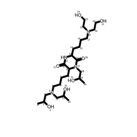 CC(O)CN(CCCCC1C(=O)NC(CCCCN(CCO)CCO)C(=O)N1CC(C)O)CC(C)O